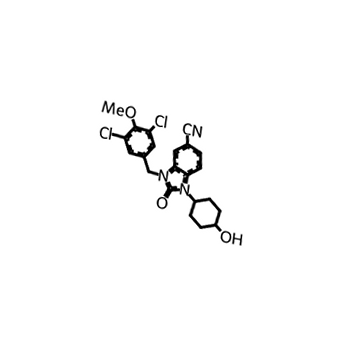 COc1c(Cl)cc(Cn2c(=O)n(C3CCC(O)CC3)c3ccc(C#N)cc32)cc1Cl